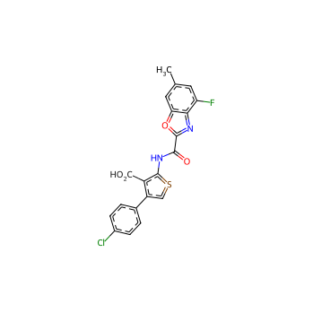 Cc1cc(F)c2nc(C(=O)Nc3scc(-c4ccc(Cl)cc4)c3C(=O)O)oc2c1